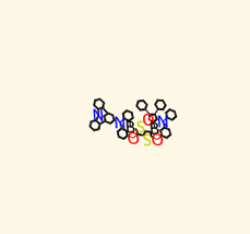 c1ccc(-c2oc3c(c2-c2ccccc2)N(c2ccccc2)c2cccc4c2B3c2c(sc3c5c(sc23)B2c3ccccc3N(c3cc6c7ccccc7n7c8ccccc8c(c3)c67)c3cccc(c32)O5)O4)cc1